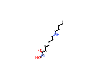 CCCCCNCCCCCCC(=O)NO